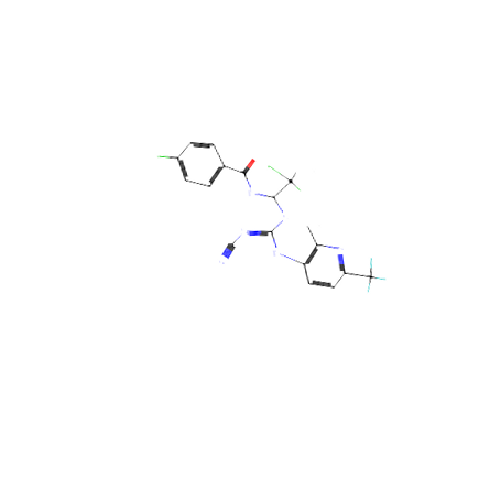 Cc1nc(C(F)(F)F)ccc1N/C(=N\C#N)NC(NC(=O)c1ccc(Cl)cc1)C(C)(Cl)Cl